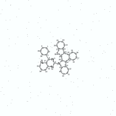 c1ccc(-c2nc(-n3c4ccccc4c4c5ccccc5c5c6ccccc6sc5c43)nc3cccnc23)cc1